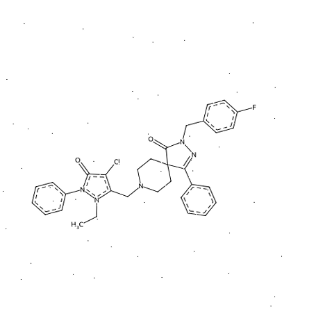 CCn1c(CN2CCC3(CC2)C(=O)N(Cc2ccc(F)cc2)N=C3c2ccccc2)c(Cl)c(=O)n1-c1ccccc1